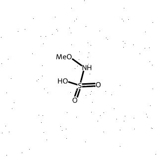 CONS(=O)(=O)O